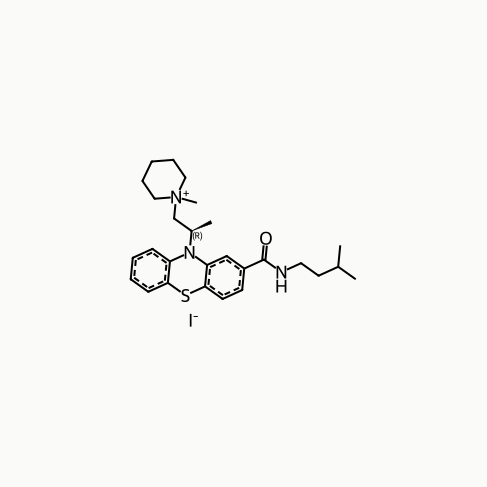 CC(C)CCNC(=O)c1ccc2c(c1)N([C@H](C)C[N+]1(C)CCCCC1)c1ccccc1S2.[I-]